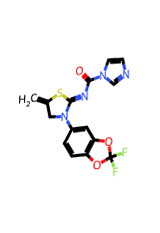 C=C1CN(c2ccc3c(c2)OC(F)(F)O3)C(=NC(=O)n2ccnc2)S1